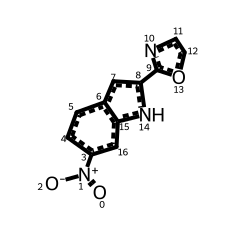 O=[N+]([O-])c1ccc2cc(-c3ncco3)[nH]c2c1